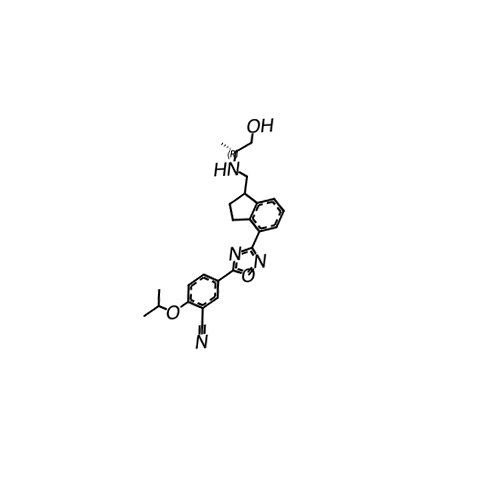 CC(C)Oc1ccc(-c2nc(-c3cccc4c3CCC4CN[C@H](C)CO)no2)cc1C#N